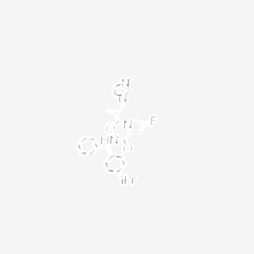 CC(Cn1ccnc1)C(=O)N1CC(F)CC1C(=O)NC(c1ccccc1)c1ccc(C(C)C)cc1